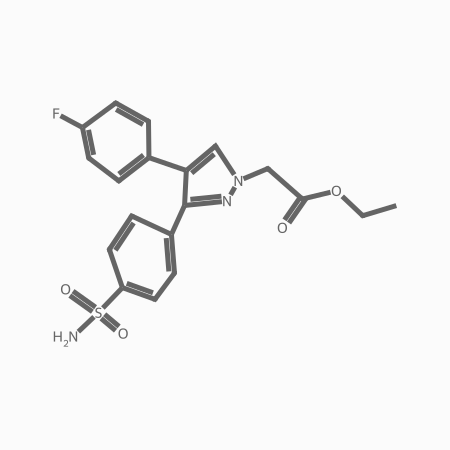 CCOC(=O)Cn1cc(-c2ccc(F)cc2)c(-c2ccc(S(N)(=O)=O)cc2)n1